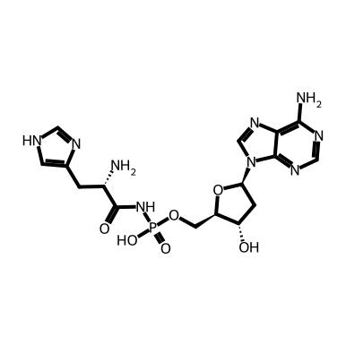 Nc1ncnc2c1ncn2[C@H]1C[C@H](O)[C@@H](COP(=O)(O)NC(=O)[C@@H](N)Cc2c[nH]cn2)O1